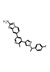 Cc1ncc(-c2ccn3nc(N)nc3c2)cc1-c1cnn(C(C)c2ccc(F)cc2)c1